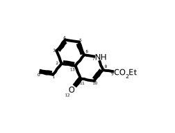 C=Cc1cccc2[nH]c(C(=O)OCC)cc(=O)c12